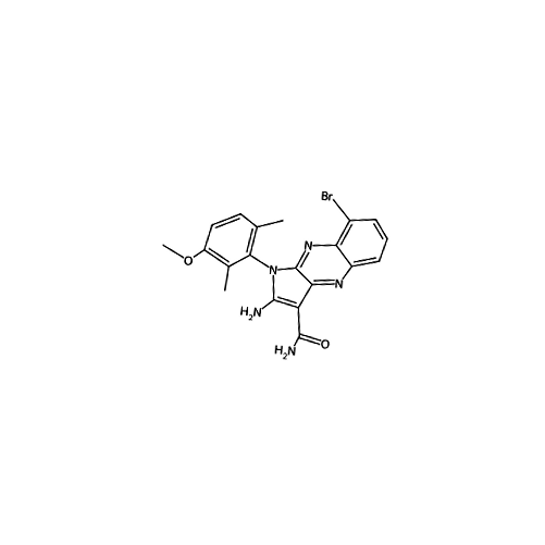 COc1ccc(C)c(-n2c(N)c(C(N)=O)c3nc4cccc(Br)c4nc32)c1C